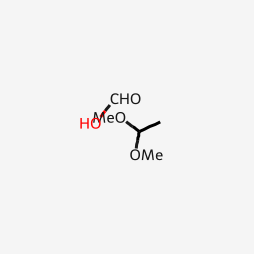 COC(C)OC.O=CO